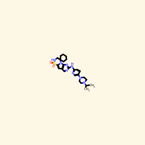 CC(C)N1CCN(c2ccc(Nc3ncc4cc5n(c4n3)C3(CCCCC3)CNS5(=O)=O)nc2)CC1